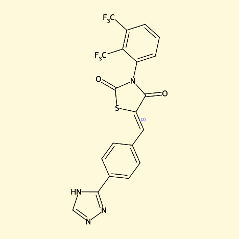 O=C1S/C(=C\c2ccc(-c3nnc[nH]3)cc2)C(=O)N1c1cccc(C(F)(F)F)c1C(F)(F)F